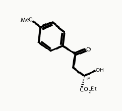 CCOC(=O)[C@@H](O)CC(=O)c1ccc(OC)cc1